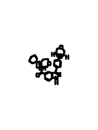 O=C(NCC1(N2CCOCC2)CCCCC1)c1ccc2[nH]nc(-c3ccc(N4[C@@H]5CC[C@H]4COC5)cc3)c2c1